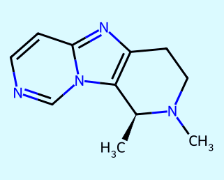 C[C@H]1c2c(nc3ccncn23)CCN1C